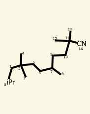 CC(C)CC(C)(C)CCC(C)CCC(C)(C)C#N